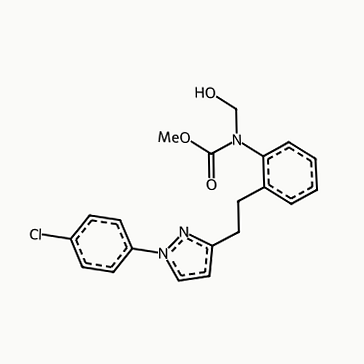 COC(=O)N(CO)c1ccccc1CCc1ccn(-c2ccc(Cl)cc2)n1